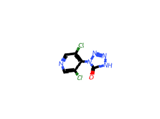 O=c1[nH]nnn1-c1c(Cl)cncc1Cl